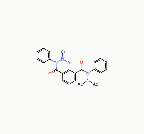 CC(=O)N(C(C)=O)N(C(=O)c1cccc(C(=O)N(c2ccccc2)N(C(C)=O)C(C)=O)c1)c1ccccc1